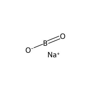 O=B[O-].[Na+]